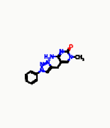 Cn1cc(Cc2cn(-c3ccccc3)nn2)c(N)nc1=O